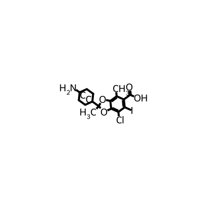 Cc1c2c(c(Cl)c(I)c1C(=O)O)OC(C)(C13CCC(N)(CC1)CC3)O2